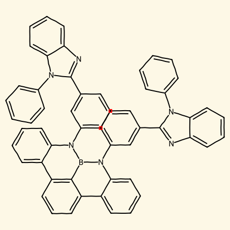 c1ccc(-n2c(-c3cccc(N4B5c6c(cccc6-c6ccccc6N5c5cccc(-c6nc7ccccc7n6-c6ccccc6)c5)-c5ccccc54)c3)nc3ccccc32)cc1